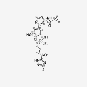 CC[C@@H](O)[C@H](CCOC(=O)c1nc(C)n[nH]1)Oc1ccc(-c2cc(NC(=O)C3CC3)ncn2)cc1C#N